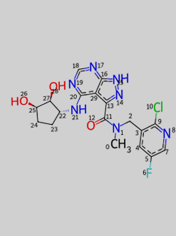 CN(Cc1cc(F)cnc1Cl)C(=O)c1n[nH]c2ncnc(N[C@@H]3CC[C@@H](O)[C@H]3O)c12